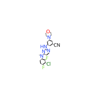 CN(c1ccnc(Nc2cc(C#N)cc(N3CCOCC3)c2)n1)c1ccc(F)c(Cl)c1F